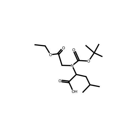 CCOC(=O)CN(C(=O)OC(C)(C)C)C(CC(C)C)C(=O)O